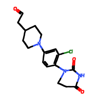 O=CCC1CCN(c2ccc(N3CCC(=O)NC3=O)c(Cl)c2)CC1